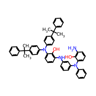 CC(C)(c1ccccc1)c1ccc(N(c2ccc(C(C)(C)c3ccccc3)cc2)c2cccc(Nc3cccc(N(c4ccccc4)c4cccc(N)c4O)c3)c2O)cc1